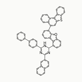 c1ccc(-c2ccc(C3=NC(c4ccc5ccccc5c4)=NC(c4cccc5oc6c(-c7cc8sc9ccccc9c8c8ccccc78)cccc6c45)N3)cc2)cc1